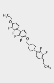 CCCc1ccc(C2CCC(COc3ccc(-c4ccc(OCC)c(F)c4F)c(F)c3F)CC2)c(F)c1F